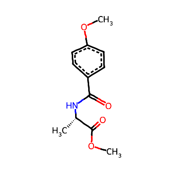 COC(=O)[C@H](C)NC(=O)c1ccc(OC)cc1